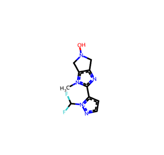 Cn1c(-c2ccnn2C(F)F)nc2c1CN(O)C2